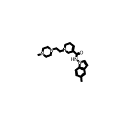 Cc1ccc2c(ccn2NC(=O)C2=CCCN(CCN3CCN(C)CC3)C2)c1